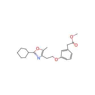 COC(=O)Cc1cccc(OCCc2nc(C3CCCCC3)oc2C)c1